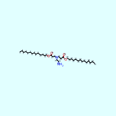 CCCCCCCCCCCCCCOC(=O)CCN(CCN)CCC(=O)OCCCCCCCCCCCCCC